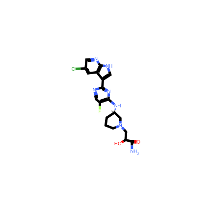 NC(=O)C(O)CN1CCC[C@H](Nc2nc(-c3c[nH]c4ncc(Cl)cc34)ncc2F)C1